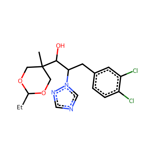 CCC1OCC(C)(C(O)C(Cc2ccc(Cl)c(Cl)c2)n2cncn2)CO1